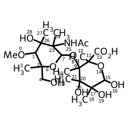 COC1C(C)(CO)OC(OC2(C)C(C)(C(=O)O)OC(O)C(C)(O)C2(C)O)C(C)(NC(C)=O)C1(C)O